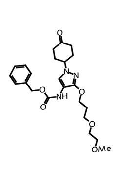 COCCOCCCOc1nn(C2CCC(=O)CC2)cc1NC(=O)OCc1ccccc1